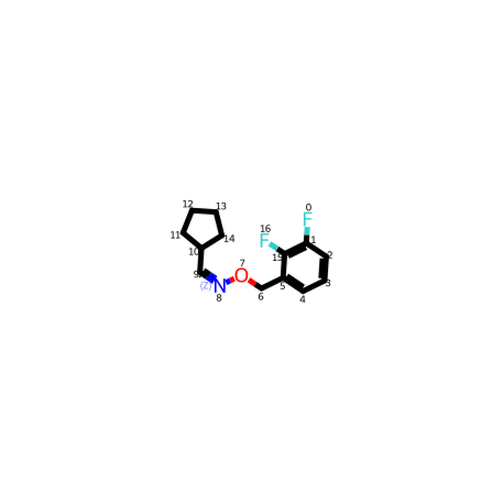 Fc1cccc(CO/N=[C]\C2CCCC2)c1F